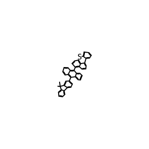 CC1(C)c2ccccc2-c2ccc(-c3c4ccccc4c(-c4ccc5c6c(cccc46)-c4ccccc4S5)c4ccccc34)cc21